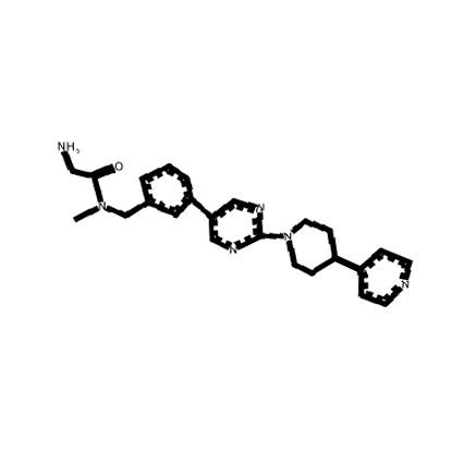 CN(Cc1cccc(-c2cnc(N3CCC(c4ccncc4)CC3)nc2)c1)C(=O)CN